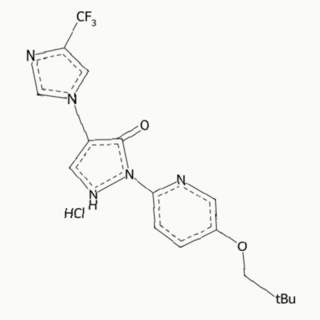 CC(C)(C)COc1ccc(-n2[nH]cc(-n3cnc(C(F)(F)F)c3)c2=O)nc1.Cl